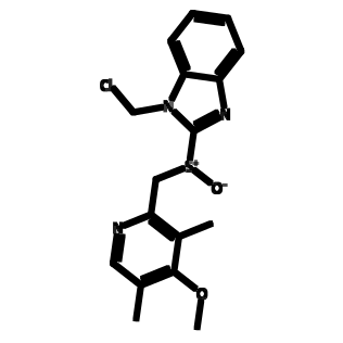 COc1c(C)cnc(C[S+]([O-])c2nc3ccccc3n2CCl)c1C